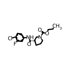 CCCOC(=O)N1CCC[C@H](C(=O)Nc2ccc(Cl)c(F)c2)C1